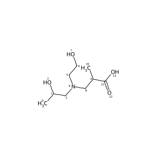 CC(O)CN(CCO)CC(C)C(=O)O